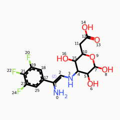 N/C(=C\NC1C(O)C(O)OC(CC(=O)O)C1O)c1cc(F)c(F)c(F)c1